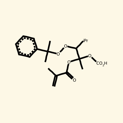 C=C(C)C(=O)OC(C)(OC(=O)O)C(OOC(C)(C)c1ccccc1)C(C)C